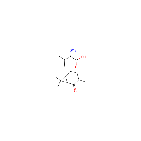 CC(C)[C@H](N)C(=O)O.CC1CCC2C(C1=O)C2(C)C